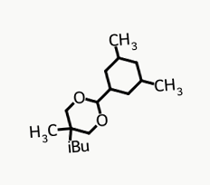 CCC(C)C1(C)COC(C2CC(C)CC(C)C2)OC1